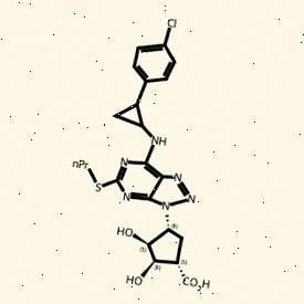 CCCSc1nc(NC2CC2c2ccc(Cl)cc2)c2nnn([C@@H]3C[C@H](C(=O)O)[C@@H](O)[C@H]3O)c2n1